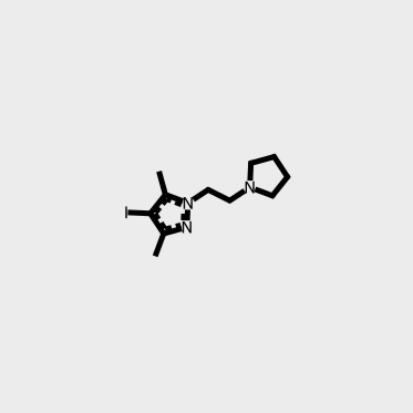 Cc1nn(CCN2CCCC2)c(C)c1I